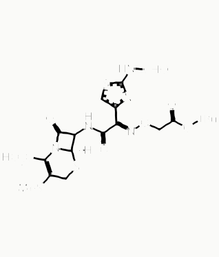 CSC1=C(C(=O)O)N2C(=O)C(NC(=O)/C(=N/OCC(=O)OC(C)(C)C)c3csc(NC=O)n3)[C@H]2SC1